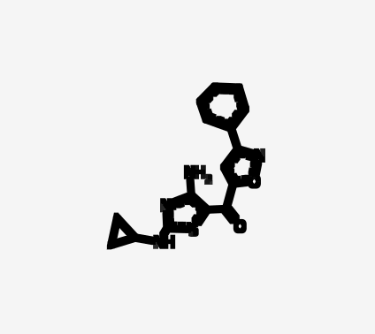 Nc1nc(NC2CC2)sc1C(=O)c1cc(-c2ccccc2)no1